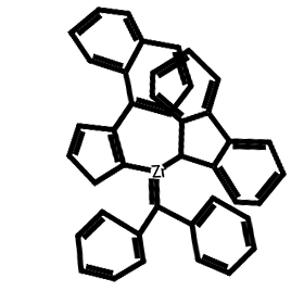 C1=CC(c2cccc3ccccc23)=[C]([Zr](=[C](c2ccccc2)c2ccccc2)[CH]2c3ccccc3-c3ccccc32)C1